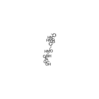 COc1cc(CCC(=O)NCCNC(=O)N(C)CC(C)C(=O)O)ccc1NC(=O)Nc1ccccc1C